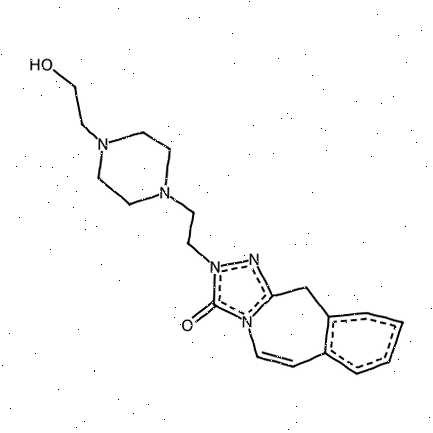 O=c1n(CCN2CCN(CCO)CC2)nc2n1C=Cc1ccccc1C2